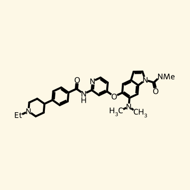 CCN1CCC(c2ccc(C(=O)Nc3cc(Oc4cc5ccn(C(=O)NC)c5cc4N(C)C)ccn3)cc2)CC1